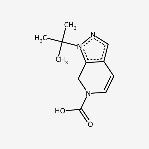 CC(C)(C)n1ncc2c1CN(C(=O)O)C=C2